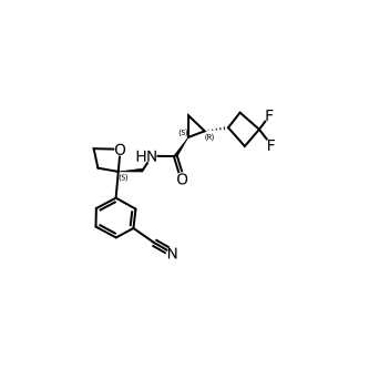 N#Cc1cccc([C@]2(CNC(=O)[C@H]3C[C@@H]3C3CC(F)(F)C3)CCO2)c1